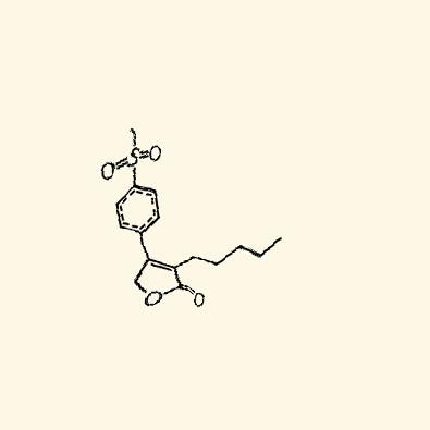 CCCCCC1=C(c2ccc(S(C)(=O)=O)cc2)COC1=O